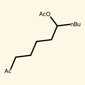 CCCCC(CCCCC(C)=O)OC(C)=O